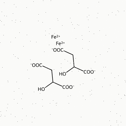 O=C([O-])CC(O)C(=O)[O-].O=C([O-])CC(O)C(=O)[O-].[Fe+2].[Fe+2]